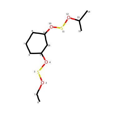 CCOSOC1CCCC(OSOC(C)C)C1